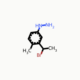 Cc1ccc(NN)cc1C(C)Br